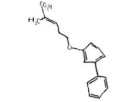 CC(=CCCOc1cccc(-c2ccccc2)c1)C(=O)O